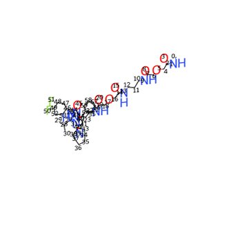 CNC(=O)COCC(=O)NCCCNC(=O)COCC(=O)NCCc1nnc(C(C)C)n1C1CC2CCC(C1)N2CC[C@@H](NC(=O)C1CCC(F)(F)CC1)c1ccccc1